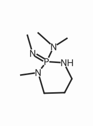 CN=P1(N(C)C)NCCCN1C